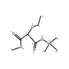 CCOC(C(=O)OC)C(=O)O[Si](C)(C)C